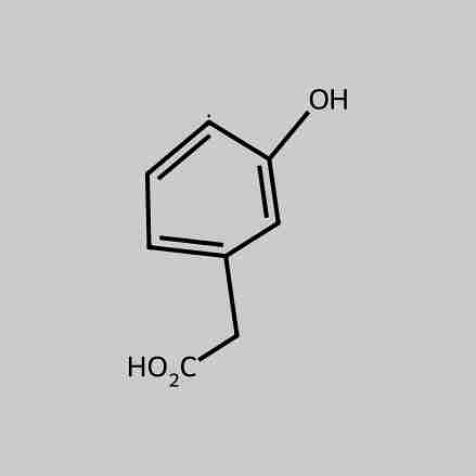 O=C(O)Cc1cc[c]c(O)c1